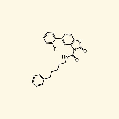 O=C(NCCCCCc1ccccc1)n1c(=O)oc2ccc(-c3ccccc3F)cc21